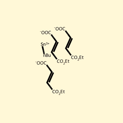 CCC[CH2][Sn+3].CCOC(=O)C=CC(=O)[O-].CCOC(=O)C=CC(=O)[O-].CCOC(=O)C=CC(=O)[O-]